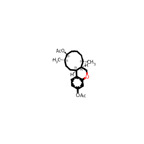 CC(=O)Oc1ccc2c(c1)OC[C@H]1[C@@H]2CC[C@H](C)[C@@H](OC(C)=O)CCC[C@@H]1C